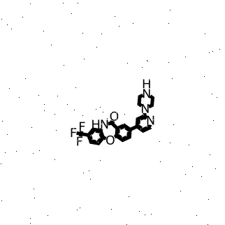 O=C1Nc2cc(C(F)(F)F)ccc2Oc2ccc(-c3ccnc(N4CCNCC4)c3)cc21